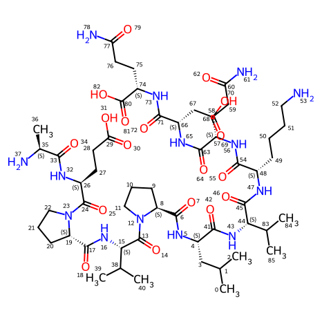 CC(C)C[C@H](NC(=O)[C@@H]1CCCN1C(=O)[C@@H](NC(=O)[C@@H]1CCCN1C(=O)[C@H](CCC(=O)O)NC(=O)[C@H](C)N)C(C)C)C(=O)N[C@H](C(=O)N[C@@H](CCCCN)C(=O)N[C@@H](CCC(N)=O)C(=O)N[C@@H](CC(=O)O)C(=O)N[C@@H](CCC(N)=O)C(=O)O)C(C)C